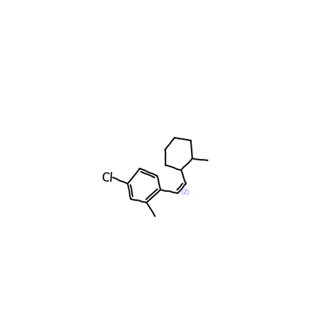 Cc1cc(Cl)ccc1/C=C\C1CCCCC1C